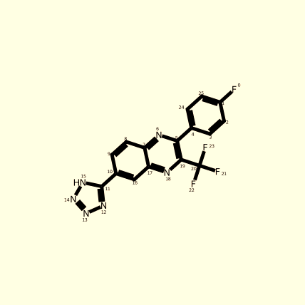 Fc1ccc(-c2nc3ccc(-c4nnn[nH]4)cc3nc2C(F)(F)F)cc1